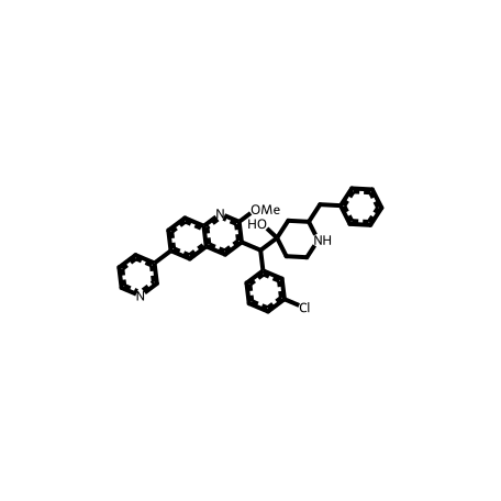 COc1nc2ccc(-c3cccnc3)cc2cc1C(c1cccc(Cl)c1)C1(O)CCNC(Cc2ccccc2)C1